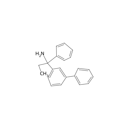 CCC(N)(c1ccccc1)c1cccc(-c2ccccc2)c1